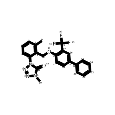 Cc1cccc(-n2nnn(C)c2=O)c1COc1ccc(-c2ccccc2)cc1C(F)(F)F